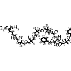 CCC(C)(CC(C)(C)C(=O)OCc1ccccc1)C(=O)N[C@@H](CCC(=O)NCC(C)(C)COCC(C)(C)CC(=O)NCC(C)(C)COCC(C)(C)CC(=O)NCCCC[C@H](N)C(=O)O)C(=O)OCc1ccccc1